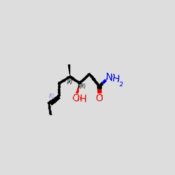 C/C=C/C[C@@H](C)[C@H](O)CC(N)=O